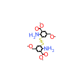 COCc1cc(SSc2cc(COC)cc(C(=O)OC)c2N)c(N)c(C(=O)OC)c1